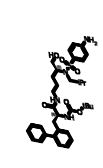 CC(C)CN([C@H](CO)CCCNC(=O)[C@H](Cc1ccccc1-c1ccccc1)NC(=O)OC(C)(C)C)S(=O)(=O)c1ccc(N)cc1